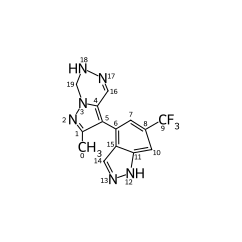 Cc1nn2c(c1-c1cc(C(F)(F)F)cc3[nH]ncc13)C=NNC2